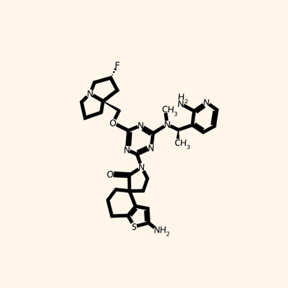 C[C@H](c1cccnc1N)N(C)c1nc(OC[C@@]23CCCN2C[C@H](F)C3)nc(N2CCC3(CCCc4sc(N)cc43)C2=O)n1